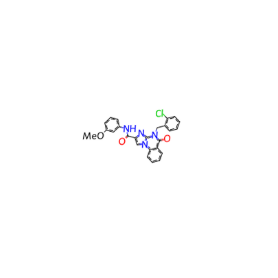 COc1cccc(NC(=O)c2cn3c4ccccc4c(=O)n(Cc4ccccc4Cl)c3n2)c1